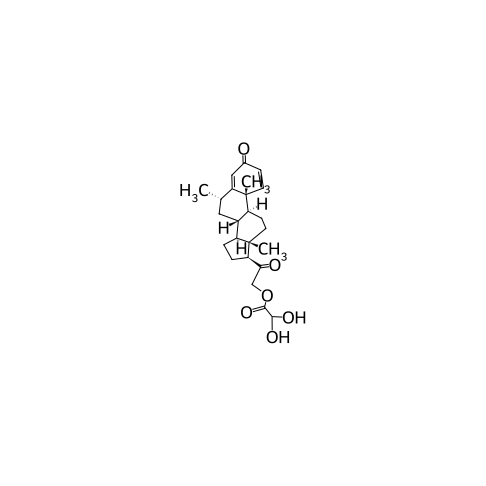 C[C@H]1C[C@H]2[C@@H]3CC[C@H](C(=O)COC(=O)C(O)O)[C@@]3(C)CC[C@@H]2[C@@]2(C)C=CC(=O)C=C12